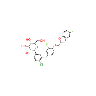 OC[C@H]1O[C@@H](c2ccc(Cl)c(Cc3ccc(OCC4Cc5cc(F)ccc5O4)c(F)c3)c2)[C@H](O)[C@@H](O)[C@@H]1O